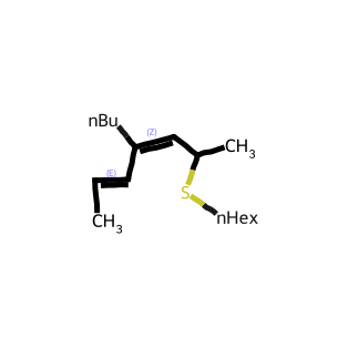 C/C=C/C(=C\C(C)SCCCCCC)CCCC